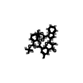 Cc1cc(C(C)Nc2ccccc2C(=O)OC(C)(C)C)c2oc(-c3cc4ccccc4n3C(=O)OC(C)(C)C)c(C)c(=O)c2c1